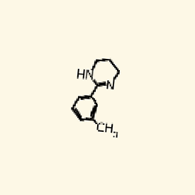 Cc1cccc(C2=NCCCN2)c1